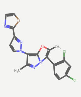 Cc1nn2c(-c3ccc(Cl)cc3Cl)c(C)oc2c1-n1ccc(-c2nccs2)n1